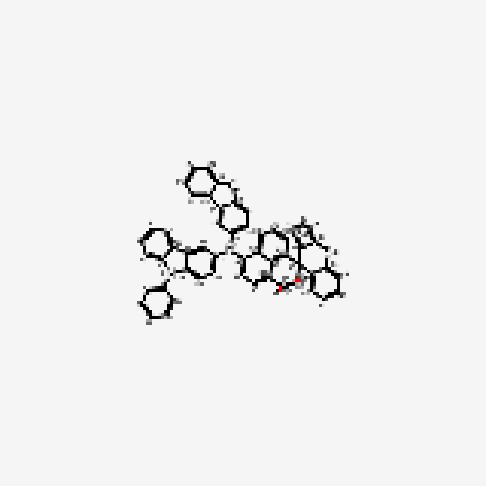 c1ccc(-n2c3ccccc3c3cc(N(c4ccc5oc6ccccc6c5c4)c4ccc5c6c(cccc46)C4(c6ccccc6Sc6ccccc64)c4ccccc4-5)ccc32)cc1